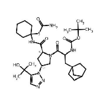 CC(C)(C)OC(=O)NC(CC12CCC(CC1)C2)C(=O)N1C[C@@H](n2nncc2C(C)(C)O)C[C@H]1C(=O)NC1(SC(N)=O)CCCCC1